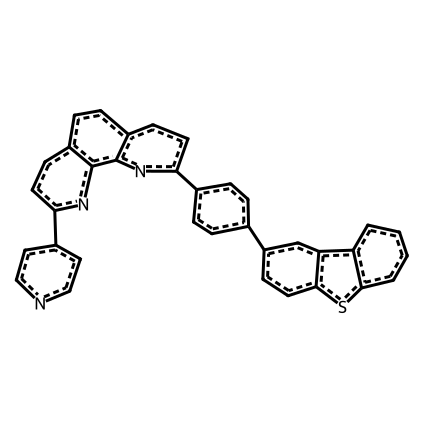 c1ccc2c(c1)sc1ccc(-c3ccc(-c4ccc5ccc6ccc(-c7ccncc7)nc6c5n4)cc3)cc12